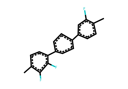 Cc1ccc(-c2ccc(-c3ccc(C)c(F)c3F)cc2)cc1F